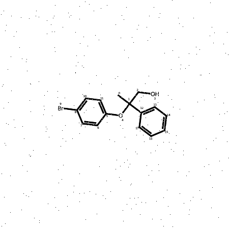 CC(CO)(Oc1ccc(Br)cc1)c1ccccc1